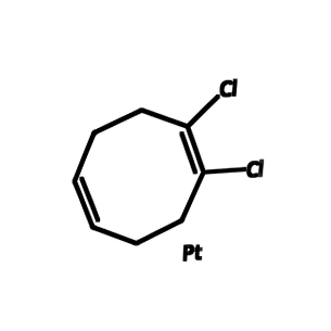 ClC1=C(Cl)CCC=CCC1.[Pt]